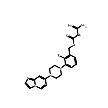 N=C(N)NC(=O)OCc1cccc(N2CCN(c3ccn4ccnc4c3)CC2)c1F